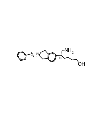 NC[C@H](CCCCO)c1ccc2c(c1)CC[C@@H](CSc1ccccc1)C2